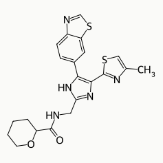 Cc1csc(-c2nc(CNC(=O)C3CCCCO3)[nH]c2-c2ccc3ncsc3c2)n1